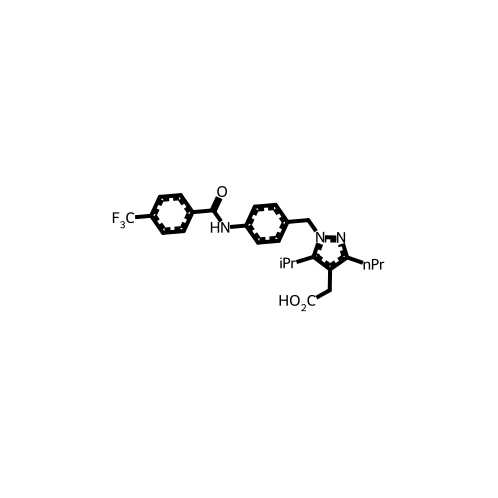 CCCc1nn(Cc2ccc(NC(=O)c3ccc(C(F)(F)F)cc3)cc2)c(C(C)C)c1CC(=O)O